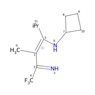 C/C(C(=N)C(F)(F)F)=C(/NC1CCC1)C(C)C